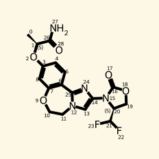 C[C@H](Oc1ccc2c(c1)OCCn1cc(N3C(=O)OC[C@H]3C(F)F)nc1-2)C(N)=O